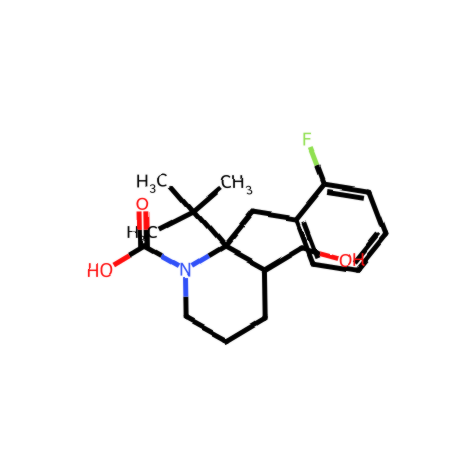 CC(C)(C)C1(Cc2ccccc2F)C(CO)CCCN1C(=O)O